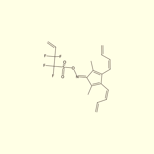 C=C/C=C\C1=C(C)C(=NOS(=O)(=O)C(F)(F)C(F)(F)C=C)C(C)=C1/C=C\C=C